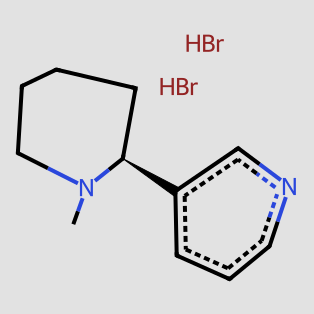 Br.Br.CN1CCCC[C@H]1c1cccnc1